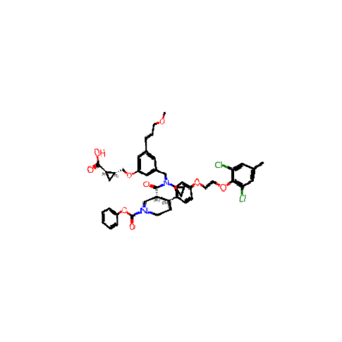 COCCCc1cc(CN(C(=O)[C@H]2CN(C(=O)Oc3ccccc3)CC[C@@H]2c2ccc(OCCOc3c(Cl)cc(C)cc3Cl)cc2)C2CC2)cc(OC[C@@H]2C[C@H]2C(=O)O)c1